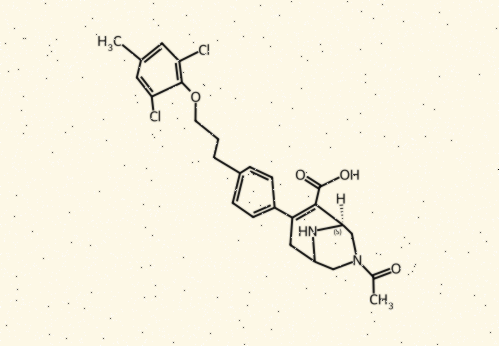 CC(=O)N1CC2CC(c3ccc(CCCOc4c(Cl)cc(C)cc4Cl)cc3)=C(C(=O)O)[C@@H](C1)N2